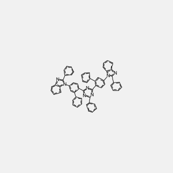 c1ccc(-c2nc(-c3ccc(-n4c(-c5ccccc5)nc5ccccc54)cc3-c3ccccc3)nc(-c3ccc(-n4c(-c5ccccc5)nc5ccccc54)cc3-c3ccccc3)n2)cc1